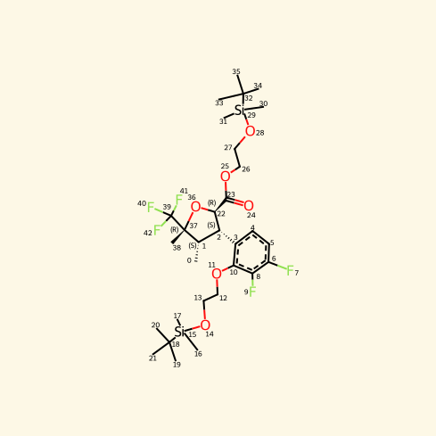 C[C@H]1[C@@H](c2ccc(F)c(F)c2OCCO[Si](C)(C)C(C)(C)C)[C@H](C(=O)OCCO[Si](C)(C)C(C)(C)C)O[C@@]1(C)C(F)(F)F